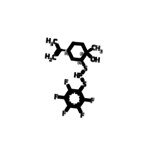 C=C(C)[C@@H]1CC[C@](C)(O)[C@@H](SPSc2c(F)c(F)c(F)c(F)c2F)C1